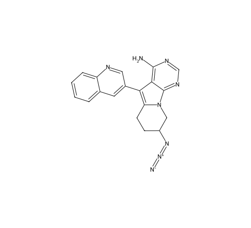 [N-]=[N+]=NC1CCc2c(-c3cnc4ccccc4c3)c3c(N)ncnc3n2C1